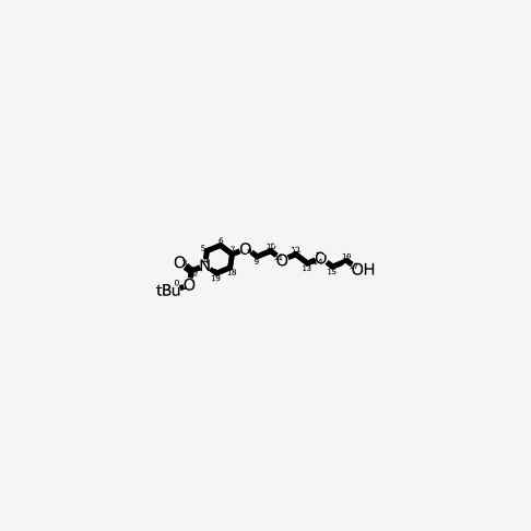 CC(C)(C)OC(=O)N1CCC(OCCOCCOCCO)CC1